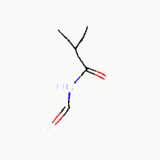 CC(C)C(=O)NC=O